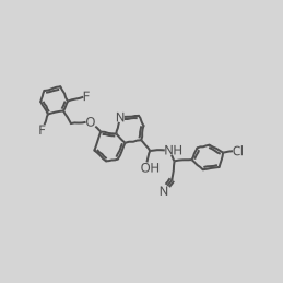 N#CC(NC(O)c1ccnc2c(OCc3c(F)cccc3F)cccc12)c1ccc(Cl)cc1